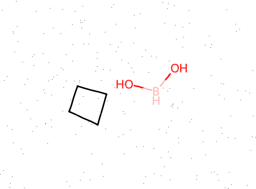 C1CCC1.OBO